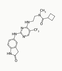 CN(CCNc1nc(Nc2ccc3c(c2)CC(=O)N3)ncc1C(F)(F)F)C(=O)C1CCC1